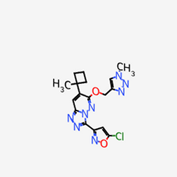 Cn1cc(COc2nn3c(-c4cc(Cl)on4)nnc3cc2C2(C)CCC2)nn1